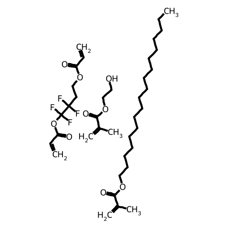 C=C(C)C(=O)OCCCCCCCCCCCCCCCCCC.C=C(C)C(=O)OCCO.C=CC(=O)OCCC(F)(F)C(F)(F)OC(=O)C=C